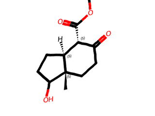 COC(=O)[C@@H]1C(=O)CC[C@]2(C)C(O)CC[C@@H]12